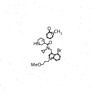 COCCCn1cc(CN(C(=O)C2CNCC[C@@H]2c2ccn(C)c(=O)c2)C2CC2)c2c(Br)cccc21